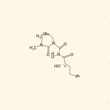 CC(C)CC[C@H](O)C(=O)N(O)C(=O)N(CC(C)(C)C)C(=O)N(C)C